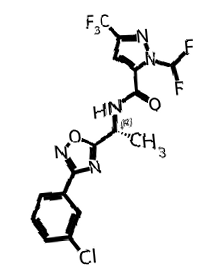 C[C@@H](NC(=O)c1cc(C(F)(F)F)nn1C(F)F)c1nc(-c2cccc(Cl)c2)no1